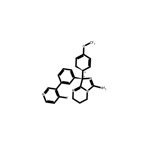 NC1=N[C@@](c2cccc(-c3cnccc3F)c2)([C@@H]2C=CC(OC(F)(F)F)=CC2)C2=NCCCN12